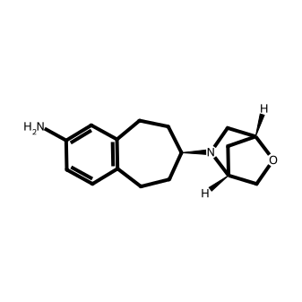 Nc1ccc2c(c1)CC[C@@H](N1C[C@H]3C[C@@H]1CO3)CC2